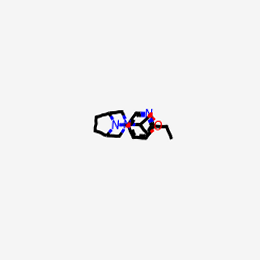 CCc1ccc(N2C3CCC2CN(C2COC2)C3)cn1